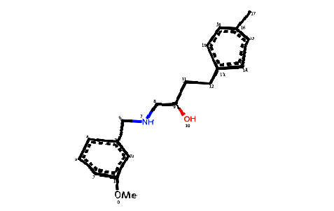 COc1cccc(CNC[C@H](O)[CH]Cc2ccc(C)cc2)c1